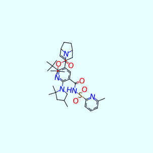 Cc1cccc(S(=O)(=O)NC(=O)c2cc(C3=CC4CCC(C3)N4C(=O)OC(C)(C)C)c(C(C)(C)C)nc2N2CC(C)CC2(C)C)n1